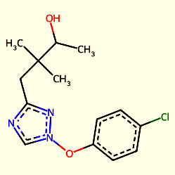 CC(O)C(C)(C)Cc1ncn(Oc2ccc(Cl)cc2)n1